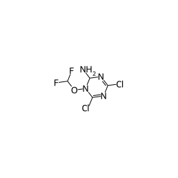 NC1N=C(Cl)N=C(Cl)N1OC(F)F